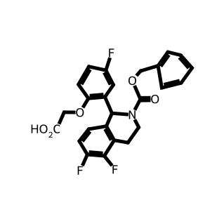 O=C(O)COc1ccc(F)cc1C1c2ccc(F)c(F)c2CCN1C(=O)OCc1ccccc1